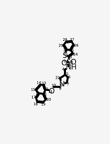 O=S(=O)(NCC1CCN(CCOc2cccc3ccccc23)C1)c1cc2ccccc2s1